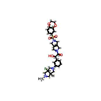 CN1C[C@H]2CN(c3cccc(C(O)C(=O)N4CC5=C(C4)CN(S(=O)(=O)c4ccc6c(c4)OCCO6)C5)c3)C[C@@]2(F)C1